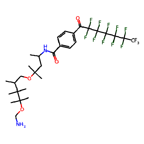 CC(CC(C)(C)OCC(C)C(C)(C)C(C)(C)OCN)NC(=O)c1ccc(C(=O)C(F)(F)C(F)(F)C(F)(F)C(F)(F)C(F)(F)C(F)(F)F)cc1